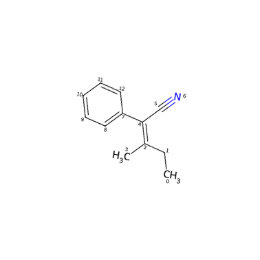 CC/C(C)=C(\C#N)c1ccccc1